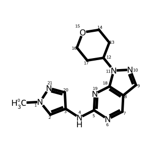 Cn1cc(Nc2ncc3cnn(C4CCOCC4)c3n2)cn1